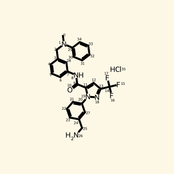 CN(Cc1cccc(NC(=O)c2cc(C(F)(F)F)nn2-c2cccc(CN)c2)c1)c1ccccc1.Cl